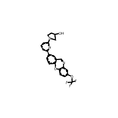 OC1CCN(c2cccc(-c3ccc4c(c3)C=Nc3cc(OC(F)(F)F)ccc3O4)n2)C1